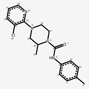 Cc1ccc(NC(=O)N2CCN(c3ncccc3Cl)CC2C)cc1